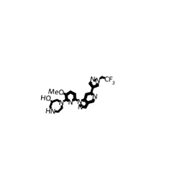 COc1ccc(-n2ncc3cnc(-c4cnn(CC(F)(F)F)c4)cc32)nc1N1CCNC[C@@H](O)C1